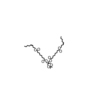 CCCC/C=C\CCOC(=O)CCCCCCC(=O)OCC1(COC(=O)CCCCCCC(=O)OCC/C=C\CCCC)COC(C)(C)OC1